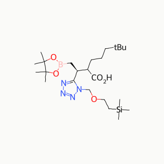 CC(C)(C)CCCC(C(=O)O)[C@H](CB1OC(C)(C)C(C)(C)O1)c1nnnn1COCC[Si](C)(C)C